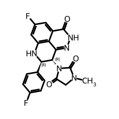 CN1CC(=O)N([C@H]2c3n[nH]c(=O)c4cc(F)cc(c34)N[C@@H]2c2ccc(F)cc2)C1=O